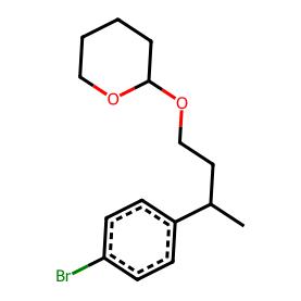 CC(CCOC1CCCCO1)c1ccc(Br)cc1